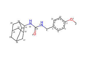 COc1ccc(CNC(=O)NC2C3CC4CC(C3)CC2C4)cc1